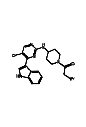 CC(C)CC(=O)N1CCC(Nc2ncc(Cl)c(-c3c[nH]c4ccccc34)n2)CC1